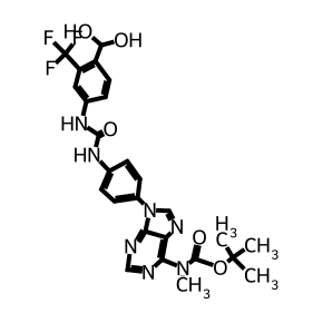 CN(C(=O)OC(C)(C)C)c1ncnc2c1ncn2-c1ccc(NC(=O)Nc2ccc(C(O)O)c(C(F)(F)F)c2)cc1